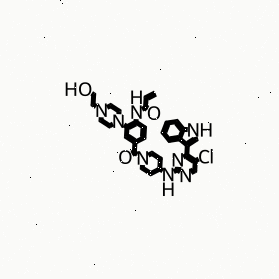 C=CC(=O)Nc1ccc(C(=O)N2CCC(Nc3ncc(Cl)c(-c4c[nH]c5ccccc45)n3)CC2)cc1N1CCN(CCO)CC1